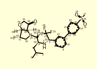 CC(C)C[C@H](N[C@@H](c1cccc(-c2ccc(S(C)(=O)=O)cc2)c1)C(F)(F)F)C(=O)N1C[C@H](F)[C@H]2OCC(=O)[C@H]21